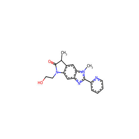 CC1C(=O)N(CCO)c2cc3nc(-c4ccccn4)n(C)c3cc21